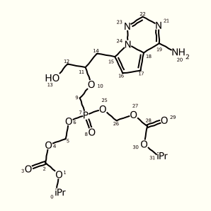 CC(C)OC(=O)OCOP(=O)(COC(CO)Cc1ccc2c(N)ncnn12)OCOC(=O)OC(C)C